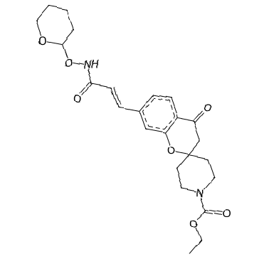 CCOC(=O)N1CCC2(CC1)CC(=O)c1ccc(C=CC(=O)NOC3CCCCO3)cc1O2